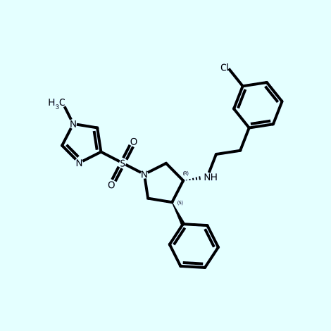 Cn1cnc(S(=O)(=O)N2C[C@H](NCCc3cccc(Cl)c3)[C@@H](c3ccccc3)C2)c1